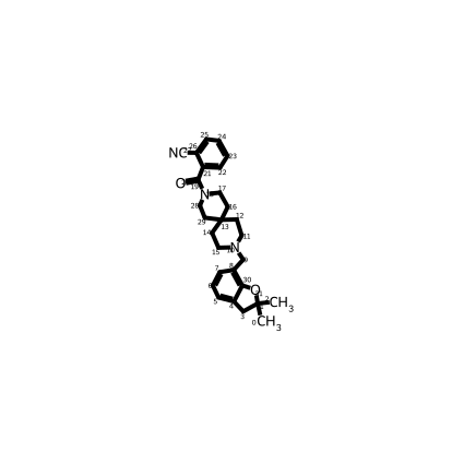 CC1(C)Cc2cccc(CN3CCC4(CC3)CCN(C(=O)c3ccccc3C#N)CC4)c2O1